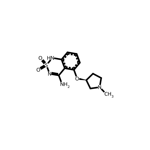 CN1CC[C@H](Oc2cccc3c2C(N)=NS(=O)(=O)N3)C1